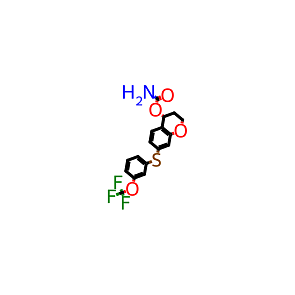 NC(=O)OC1CCOc2cc(Sc3cccc(OC(F)(F)F)c3)ccc21